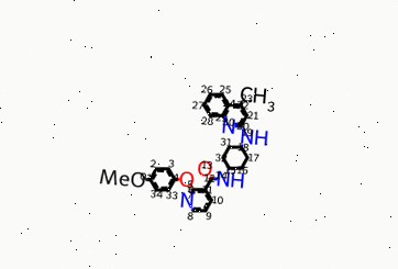 COc1ccc(Oc2ncccc2C(=O)N[C@H]2CC[C@@H](Nc3cc(C)c4ccccc4n3)CC2)cc1